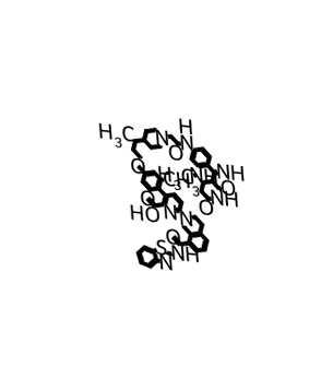 CNc1cc(NC(=O)CN2CCC([C@@H](C)CCOc3ccc(-c4ccc(N5CCc6cccc(C(=O)Nc7nc8ccccc8s7)c6C5)nc4C(=O)O)c(C)c3)CC2)ccc1C(=N)C1CCC(=O)NC1=O